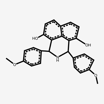 COc1ccc(C2NC(c3ccc(OC)cc3)c3c(O)ccc4ccc(O)c2c34)cc1